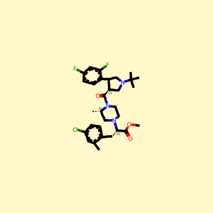 COC(=O)[C@H](Cc1ccc(Cl)cc1C)N1CCN(C(=O)[C@@H]2CN(C(C)(C)C)CC2c2ccc(F)cc2F)[C@@H](C)C1